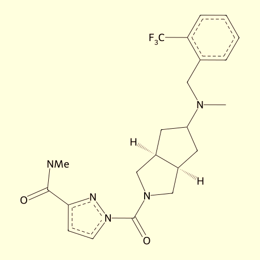 CNC(=O)c1ccn(C(=O)N2C[C@H]3CC(N(C)Cc4ccccc4C(F)(F)F)C[C@H]3C2)n1